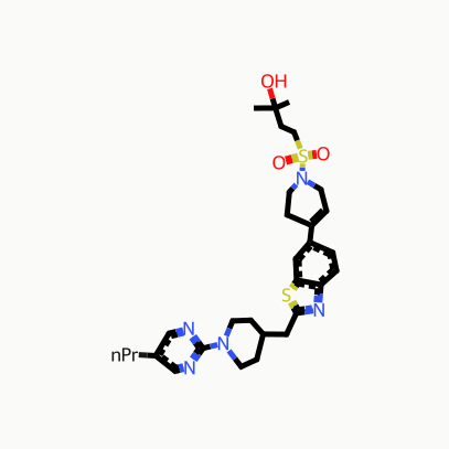 CCCc1cnc(N2CCC(Cc3nc4ccc(C5=CCN(S(=O)(=O)CCC(C)(C)O)CC5)cc4s3)CC2)nc1